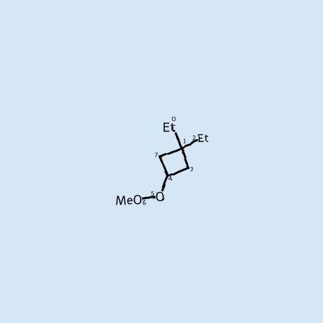 CCC1(CC)CC(OOC)C1